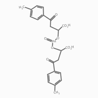 Cc1ccc(C(=O)CC(O[PH](=O)OC(CC(=O)c2ccc(C)cc2)C(=O)O)C(=O)O)cc1